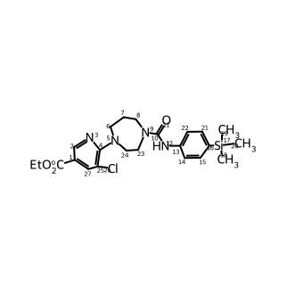 CCOC(=O)c1cnc(N2CCCN(C(=O)Nc3ccc([Si](C)(C)C)cc3)CC2)c(Cl)c1